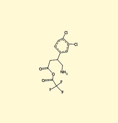 NCC(CC(=O)OC(=O)C(F)(F)F)c1ccc(Cl)c(Cl)c1